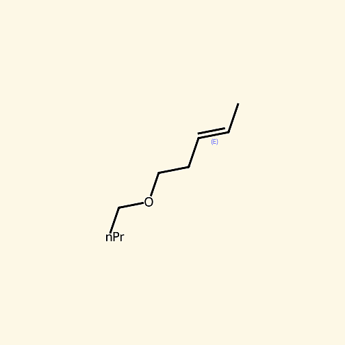 C/C=C/CCOCCCC